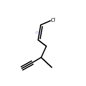 C#CC(C)C/C=C\Cl